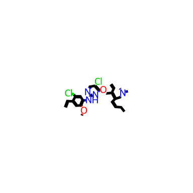 C=C/C(COc1nc(Nc2cc(Cl)c(C=C)cc2OC)ncc1Cl)=C(/C=C\CC)CN(C)C